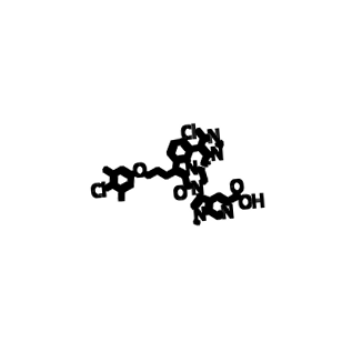 Cc1cc(OCCCc2c3n(c4c(-c5c(C)ncnc5C)c(Cl)ccc24)[C@H](C)CN(c2cn(C)c4cnc(C(=O)O)cc24)C3=O)cc(C)c1Cl